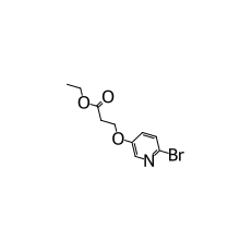 CCOC(=O)CCOc1ccc(Br)nc1